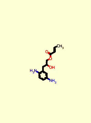 CC=CC(=O)OCC(O)Cc1cc(N)ccc1N